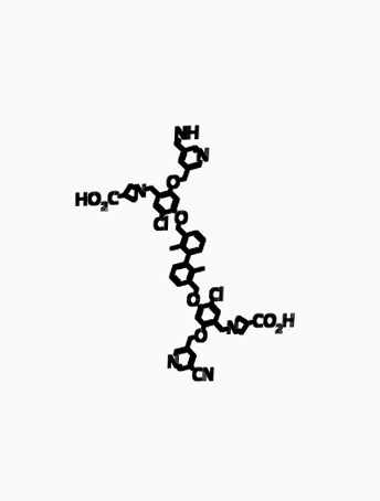 Cc1c(COc2cc(OCc3cncc(C#N)c3)c(CN3CC(C(=O)O)C3)cc2Cl)cccc1-c1cccc(COc2cc(OCc3cncc(C=N)c3)c(CN3CC(C(=O)O)C3)cc2Cl)c1C